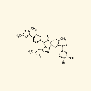 C=C1N=C(c2ccc(-n3c(=O)c4c(n5ncc(CC(C)C)c35)CN(C(=O)c3ccc(Br)c(C)c3)C(C)C4)cc2)N(C)O1